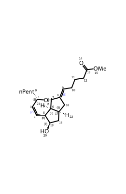 CCCCC[C@H](O)/C=C\[C@H]1[C@H]2C/C(=C/CCCC(=O)OC)C[C@H]2C[C@H]1O